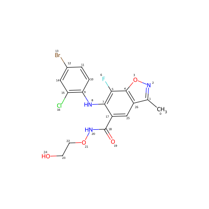 Cc1noc2c(F)c(Nc3ccc(Br)cc3Cl)c(C(=O)NOCCO)cc12